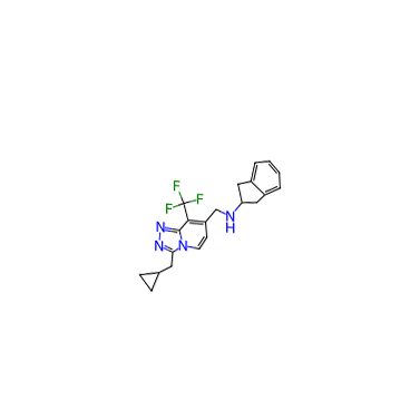 FC(F)(F)c1c(CNC2Cc3ccccc3C2)ccn2c(CC3CC3)nnc12